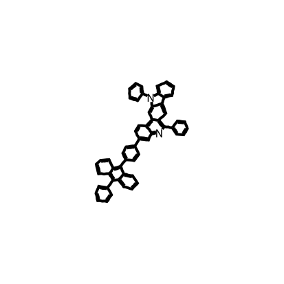 c1ccc(-c2c3ccccc3c(-c3ccc(-c4ccc5c(c4)nc(-c4ccccc4)c4cc6c7ccccc7n(-c7ccccc7)c6cc45)cc3)c3ccccc23)cc1